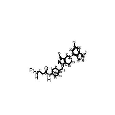 CCNCCC(=O)NC12CCC(Cn3nc(C)c4c3CCN(c3cc(C)nc5c3cnn5C)C4)(CC1)CC2